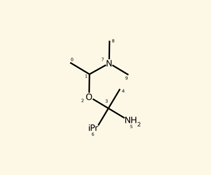 CC(OC(C)(N)C(C)C)N(C)C